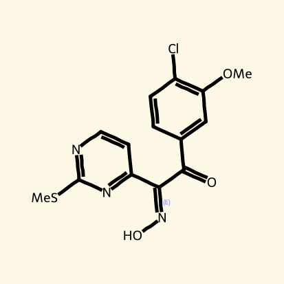 COc1cc(C(=O)/C(=N/O)c2ccnc(SC)n2)ccc1Cl